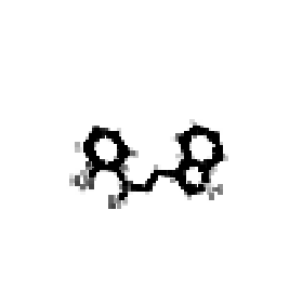 CCN(CCc1c[nH]c2ccccc12)c1ccccc1N